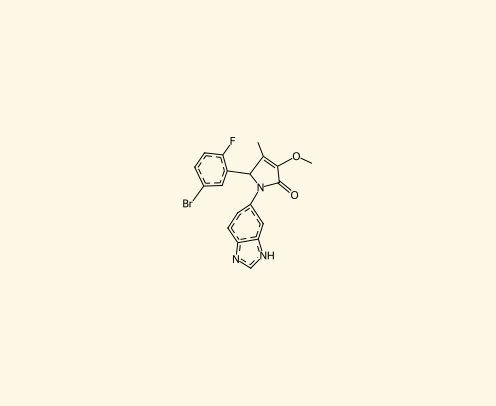 COC1=C(C)C(c2cc(Br)ccc2F)N(c2ccc3nc[nH]c3c2)C1=O